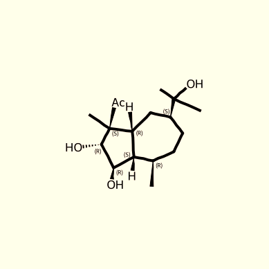 CC(=O)[C@@]1(C)[C@@H]2C[C@@H](C(C)(C)O)CC[C@@H](C)[C@@H]2[C@@H](O)[C@@H]1O